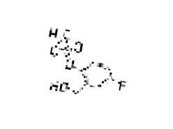 CS(=O)(=O)Oc1ccc(F)cc1CO